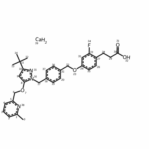 Cc1cccc(COc2cc(C(C)(C)C)nn2Cc2ccc(COc3ccc(CCC(=O)O)c(F)c3)cc2)n1.[CaH2]